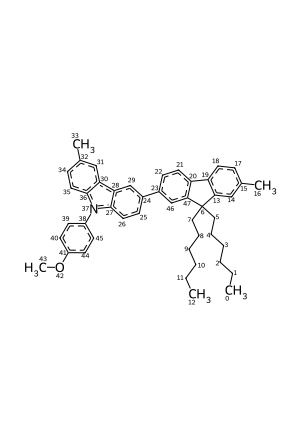 CCCCCCC1(CCCCCC)c2cc(C)ccc2-c2ccc(-c3ccc4c(c3)c3cc(C)ccc3n4-c3ccc(OC)cc3)cc21